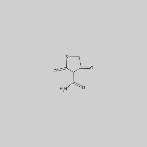 NC(=O)C1C(=O)CSC1=O